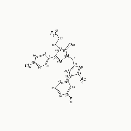 CC(=O)c1nc(Cn2nc(-c3ccc(Cl)cc3)n(CCC(F)(F)F)c2=O)nn1-c1cccc(F)c1